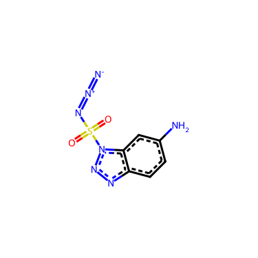 [N-]=[N+]=NS(=O)(=O)n1nnc2ccc(N)cc21